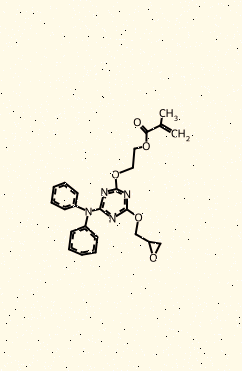 C=C(C)C(=O)OCCOc1nc(OCC2CO2)nc(N(c2ccccc2)c2ccccc2)n1